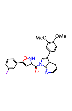 COc1ccc(C2=CN(C(=O)C3C=C(c4cccc(I)c4)ON3)C3=NC=CCC23)cc1OC